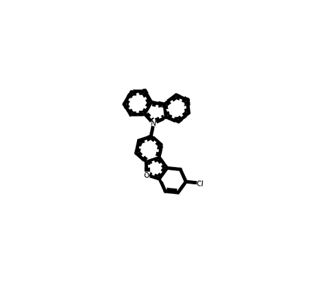 ClC1C=Cc2oc3ccc(-n4c5ccccc5c5ccccc54)cc3c2C1